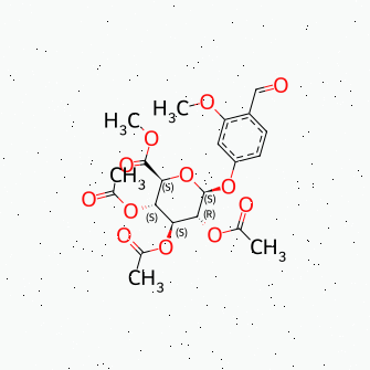 COC(=O)[C@H]1O[C@@H](Oc2ccc(C=O)c(OC)c2)[C@H](OC(C)=O)[C@@H](OC(C)=O)[C@@H]1OC(C)=O